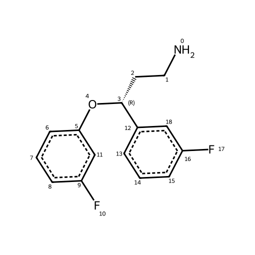 NCC[C@@H](Oc1cccc(F)c1)c1cccc(F)c1